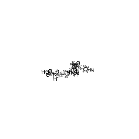 N#Cc1ccc(CCNC(=O)[C@@H]2CCN2c2cc(N3CCC(CCCC(=O)NCCS(=O)(=O)O)CC3)nc(C(F)(F)F)n2)cc1